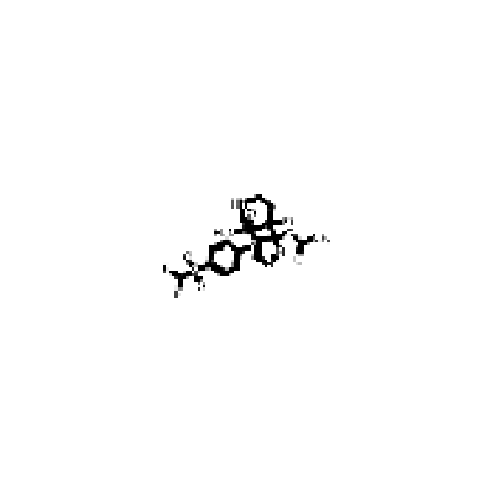 CCC1(C2(OC(=O)C(F)(F)F)N=NC=C2C(N)=O)CCNC[C@H]1Nc1ccc(S(=O)(=O)C(F)F)cc1